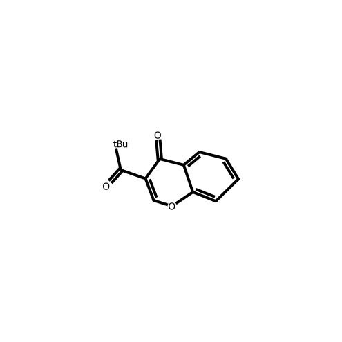 CC(C)(C)C(=O)c1coc2ccccc2c1=O